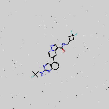 CC(C)(F)CNc1ncc2c(n1)CCC=C2c1ccn2ncc(C(=O)NCC3CC(F)(F)C3)c2c1